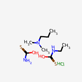 CCCN(C)C.CCNC(O)=S.Cl.NC(O)=S